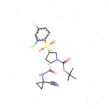 CC(C)(C)OC(=O)N1C[C@H](S(=O)(=O)c2ccc(F)cc2Cl)C[C@H]1C(=O)NC1(C#N)CC1